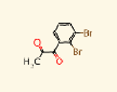 CC(=O)C(=O)c1cccc(Br)c1Br